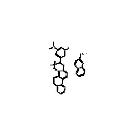 CN(C)c1cc(F)cc(C2Cc3ccc4c(ccc5ccccc54)c3CC2(C)C)c1.O=C(O)c1ccc2ncccc2c1